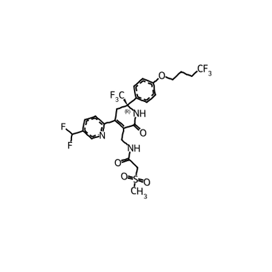 CS(=O)(=O)CC(=O)NCC1=C(c2ccc(C(F)F)cn2)C[C@@](c2ccc(OCCCC(F)(F)F)cc2)(C(F)(F)F)NC1=O